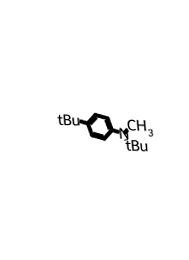 CN(c1ccc(C(C)(C)C)cc1)C(C)(C)C